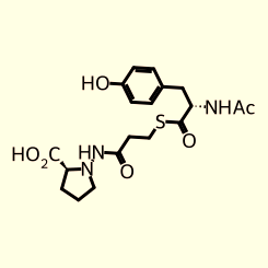 CC(=O)N[C@@H](Cc1ccc(O)cc1)C(=O)SCCC(=O)NN1CCC[C@H]1C(=O)O